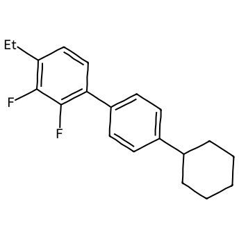 CCc1ccc(-c2ccc(C3CCCCC3)cc2)c(F)c1F